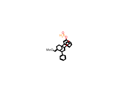 COC=C1CCC2(c3cccc(O[PH2]=O)c3)CC1C(c1ccccc1)C=C2c1ccccc1